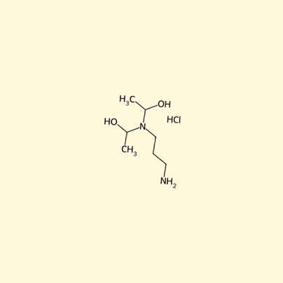 CC(O)N(CCCN)C(C)O.Cl